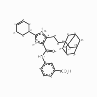 O=C(O)c1cccc(NC(=O)c2nc(C3CC=CCC3)[nH]c2CCC23CC4CC(CC(C4)C2)C3)c1